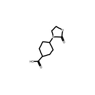 O=C(O)C1CCC(N2CCOC2=O)CC1